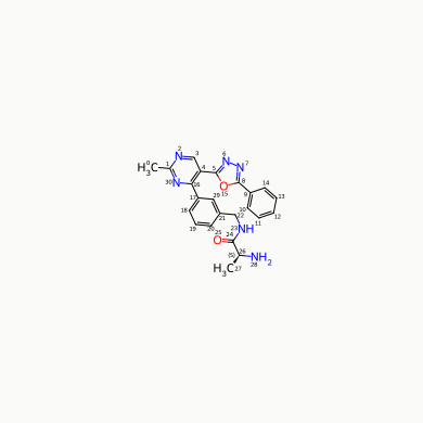 Cc1ncc(-c2nnc(-c3ccccc3)o2)c(-c2cccc(CNC(=O)[C@H](C)N)c2)n1